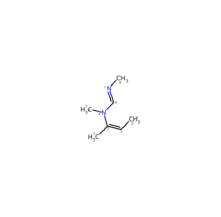 C/C=C(/C)N(C)/C=N/C